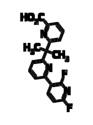 CC(C)(c1cccc(C(=O)O)n1)c1cccc(-c2ccc(F)nc2F)n1